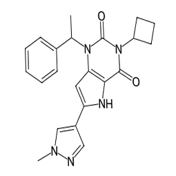 CC(c1ccccc1)n1c(=O)n(C2CCC2)c(=O)c2[nH]c(-c3cnn(C)c3)cc21